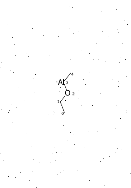 CC[O][Al][CH3]